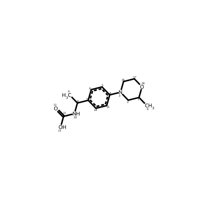 CC1CN(c2ccc(C(C)NC(=O)O)cc2)CCO1